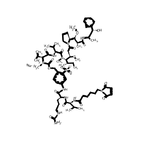 CC[C@H](C)[C@@H]([C@@H](CC(=O)N1CCC[C@H]1[C@H](OC)[C@@H](C)C(=O)N[C@H](C)[C@@H](O)c1ccccc1)OC)N(C)C(=O)[C@@H](NC(=O)[C@H](C(C)C)N(C)C(=O)OCc1ccc(NC(=O)[C@H](CCCNC(N)=O)NC(=O)[C@@H](NC(=O)CCCCCN2C(=O)C=CC2=O)C(C)C)cc1S(=O)(=O)[O-])C(C)C.[Na+]